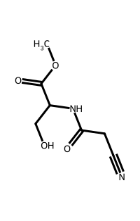 COC(=O)C(CO)NC(=O)CC#N